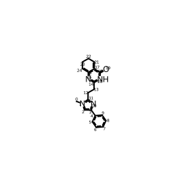 Cn1cc(-c2ccccc2)nc1CCc1nc2c(c(=O)[nH]1)=CCCC=2